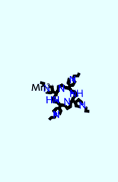 CCCN1C=CC(c2c3nc(c(C4=CCN(CCC)C=C4)c4ccc([nH]4)c(C4=CCN(CCC)C=C4)c4nc(c(C5=CCN(CCC)C=C5)c5ccc2[nH]5)C=C4)C=C3)=CC1.[Mn+3]